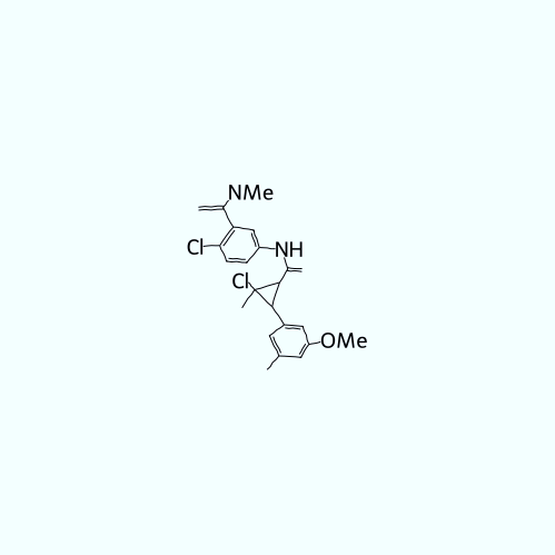 C=C(NC)c1cc(NC(=C)C2C(c3cc(C)cc(OC)c3)C2(C)Cl)ccc1Cl